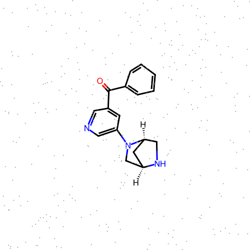 O=C(c1ccccc1)c1cncc(N2C[C@H]3C[C@@H]2CN3)c1